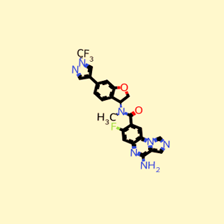 CN(C(=O)c1cc2c(cc1F)nc(N)c1cncn12)[C@@H]1COc2cc(-c3cnn(C(F)(F)F)c3)ccc21